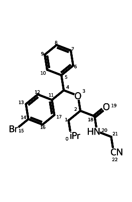 CC(C)CC(OC(c1ccccc1)c1ccc(Br)cc1)C(=O)NCC#N